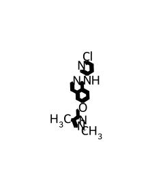 Cc1cn(C)nc1COc1ccc2c(Nc3ccc(Cl)nc3)nccc2c1